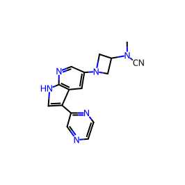 CN(C#N)C1CN(c2cnc3[nH]cc(-c4cnccn4)c3c2)C1